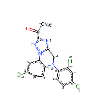 COC(=O)c1nc2n(n1)-c1cc(Cl)ccc1N(c1ccc(Cl)cc1Cl)C2